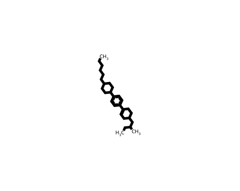 CCCCCCC1CCC(c2ccc(C3=CCC(CC(C)CC)CC3)cc2)CC1